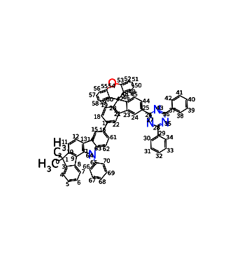 CC1(C)c2ccccc2-c2c1ccc1c3cc(-c4ccc5c(c4)-c4cc(-c6nc(-c7ccccc7)nc(-c7ccccc7)n6)ccc4C54c5ccccc5Oc5ccccc54)ccc3n(-c3ccccc3)c21